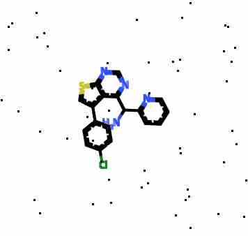 NC(c1ccccn1)c1ncnc2scc(-c3ccc(Cl)cc3)c12